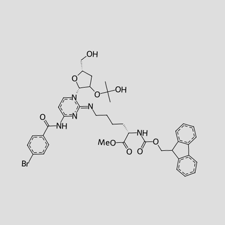 COC(=O)[C@H](CCCC/N=c1\nc(NC(=O)c2ccc(Br)cc2)ccn1[C@@H]1O[C@H](CO)CC1OC(C)(C)O)NC(=O)OCC1c2ccccc2-c2ccccc21